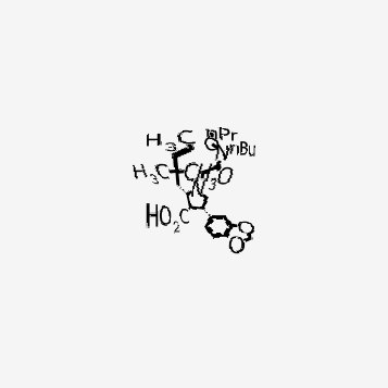 CC=CC(C)(C)C[C@H]1[C@H](C(=O)O)[C@@H](c2ccc3c(c2)OCO3)CN1CC(=O)N(CCCC)OCCC